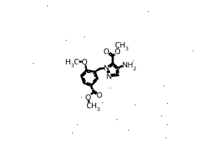 COC(=O)c1ccc(OC)c(Cn2ncc(N)c2C(=O)OC)c1